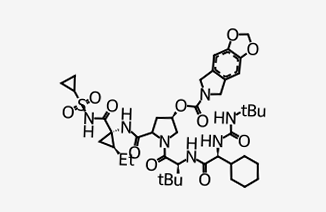 CC[C@H]1C[C@@]1(NC(=O)C1C[C@@H](OC(=O)N2Cc3cc4c(cc3C2)OCO4)CN1C(=O)[C@@H](NC(=O)[C@@H](NC(=O)NC(C)(C)C)C1CCCCC1)C(C)(C)C)C(=O)NS(=O)(=O)C1CC1